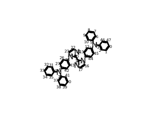 c1ccc(N(c2ccccc2)c2ccc(-n3ccnc3-c3nccn3-c3ccc(N(c4ccccc4)c4ccccc4)cc3)cc2)cc1